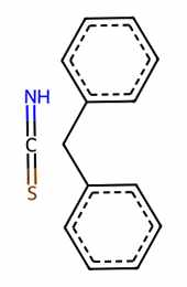 N=C=S.c1ccc(Cc2ccccc2)cc1